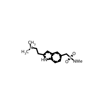 CNS(=O)(=O)Cc1ccc2[nH]c(CCN(C)C)cc2c1